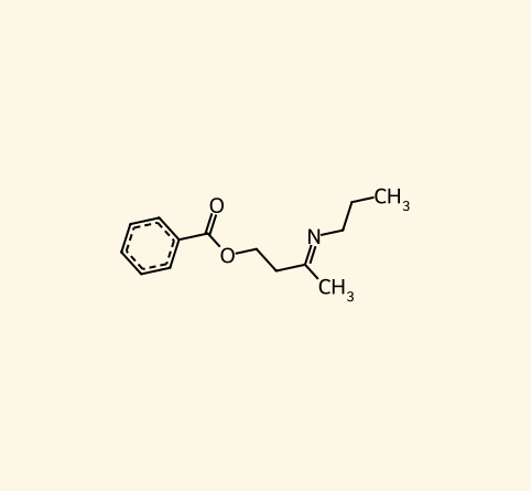 CCCN=C(C)CCOC(=O)c1ccccc1